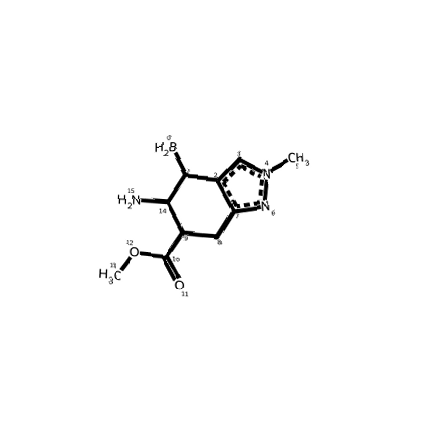 BC1c2cn(C)nc2CC(C(=O)OC)C1N